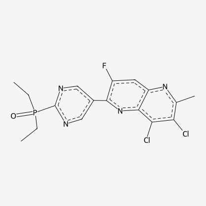 CCP(=O)(CC)c1ncc(-c2nc3c(Cl)c(Cl)c(C)nc3cc2F)cn1